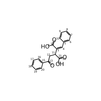 O=C(O)C(=Cc1ccccc1)C(CC(=O)c1ccccc1)C(=O)O